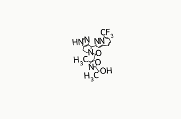 Cc1nc([C@H](C)O)oc1C(=O)N1CCc2[nH]cnc2C1c1cc2cccc(C(F)(F)F)n2n1